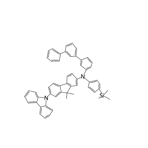 CC1(C)c2cc(N(c3ccc([Si](C)(C)C)cc3)c3cccc(-c4cccc(-c5ccccc5)c4)c3)ccc2-c2ccc(-n3c4ccccc4c4ccccc43)cc21